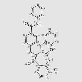 O=C(Nc1ccccn1)c1ccc(CN2C(=O)c3cccc(Cl)c3NC(=O)[C@H]2Cc2cccnc2)cc1